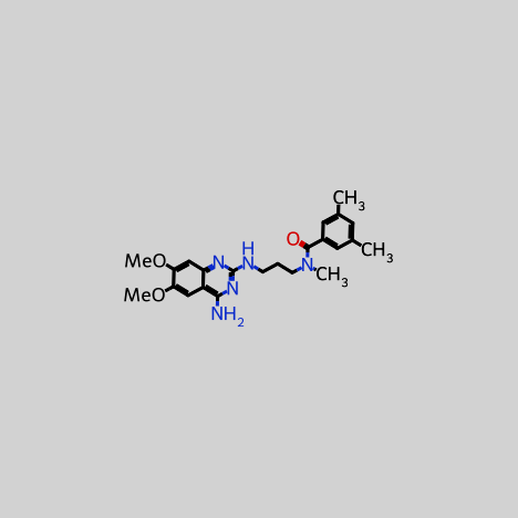 COc1cc2nc(NCCCN(C)C(=O)c3cc(C)cc(C)c3)nc(N)c2cc1OC